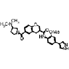 COc1cc(-c2cn[nH]c2)ccc1NC(=O)C1COc2ccc(C(=O)N3CCC(N(C)C)C3)cc2C1